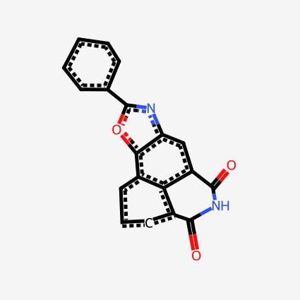 O=C1NC(=O)c2cc3nc(-c4ccccc4)oc3c3cccc1c23